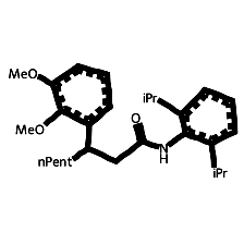 CCCCCC(CC(=O)Nc1c(C(C)C)cccc1C(C)C)c1cccc(OC)c1OC